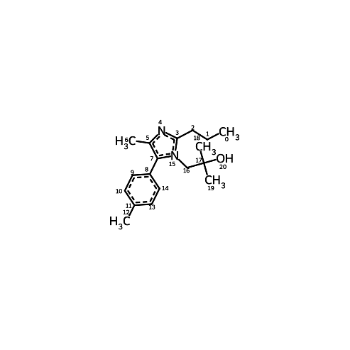 CCCc1nc(C)c(-c2ccc(C)cc2)n1CC(C)(C)O